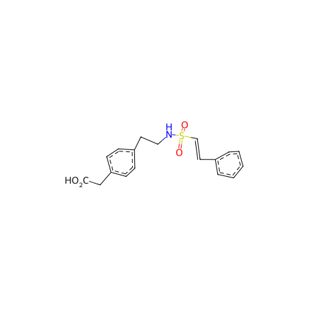 O=C(O)Cc1ccc(CCNS(=O)(=O)C=Cc2ccccc2)cc1